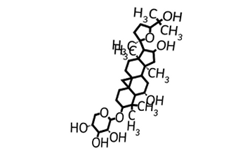 CC(C)(O)C1CC[C@](C)(C2C(O)C[C@@]3(C)C4C[C@H](O)C5C(C)(C)C(OC6OC[C@@H](O)C(O)[C@H]6O)CCC56CC46CC[C@]23C)O1